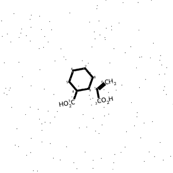 C=CC(=O)O.O=C(O)C1CCCCC1